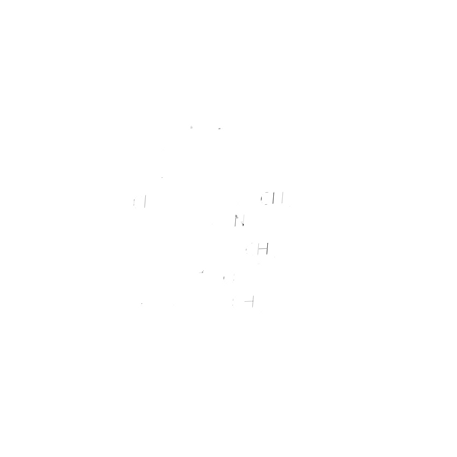 COc1ccccc1[C](c1ccccc1Cl)N(C)C